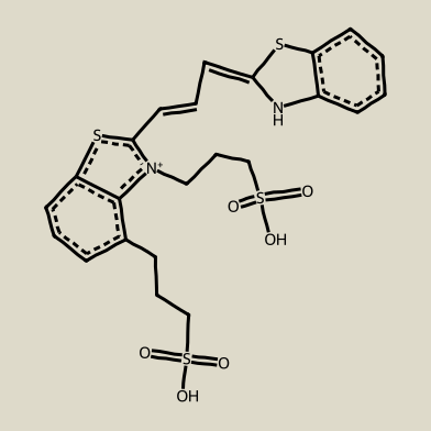 O=S(=O)(O)CCCc1cccc2sc(C=CC=C3Nc4ccccc4S3)[n+](CCCS(=O)(=O)O)c12